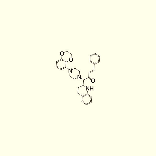 O=C(C=Cc1ccccc1)C(C1CCc2ccccc2N1)N1CCN(c2cccc3c2OCCO3)CC1